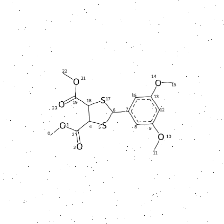 COC(=O)C1SC(c2cc(OC)cc(OC)c2)SC1C(=O)OC